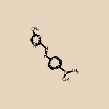 Cc1cnc(N=Nc2ccc(N(C)C)cc2)s1